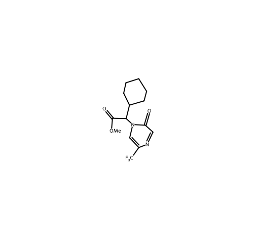 COC(=O)C(C1CCCCC1)n1cc(C(F)(F)F)ncc1=O